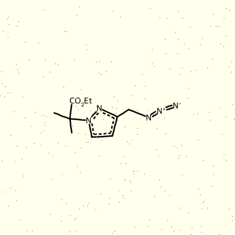 CCOC(=O)C(C)(C)n1ccc(CN=[N+]=[N-])n1